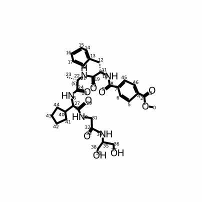 COC(=O)c1ccc(C(=O)N[C@@H](Cc2ccccc2)C(=O)N[C@@H](C)C(=O)NC(C(=O)NCC(=O)NC(CO)CO)C2CCCC2)cc1